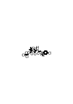 CC12CC1(C(=O)OCC(Cl)(Cl)Cl)N1C(=O)C(NC(=O)Cn3nnc4cc(Cl)ccc43)[C@H]1S2